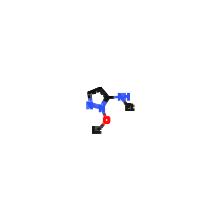 CCNc1ccnn1OCC